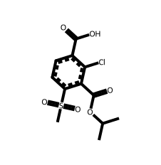 CC(C)OC(=O)c1c(S(C)(=O)=O)ccc(C(=O)O)c1Cl